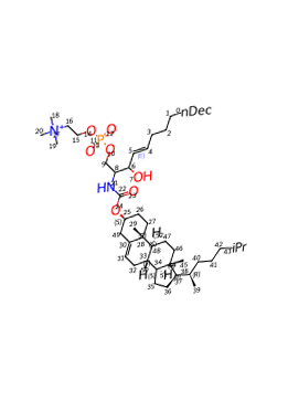 CCCCCCCCCCCCC/C=C/C(O)C(COP(=O)([O-])OCC[N+](C)(C)C)NC(=O)O[C@H]1CC[C@@]2(C)C(=CC[C@H]3[C@@H]4CC[C@H]([C@H](C)CCCC(C)C)[C@@]4(C)CC[C@@H]32)C1